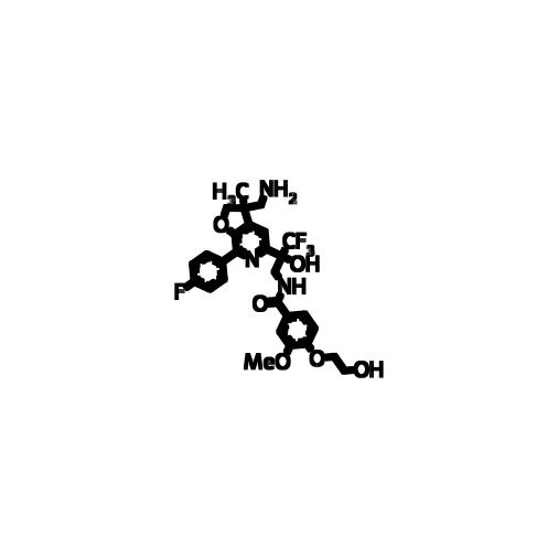 COc1cc(C(=O)NCC(O)(c2cc3c(c(-c4ccc(F)cc4)n2)OCC3(C)CN)C(F)(F)F)ccc1OCCO